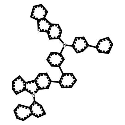 c1ccc(-c2ccc(N(c3cccc(-c4ccccc4-c4ccc5c6ccccc6n(-c6cccc7ccccc67)c5c4)c3)c3ccc4c(c3)sc3ccccc34)cc2)cc1